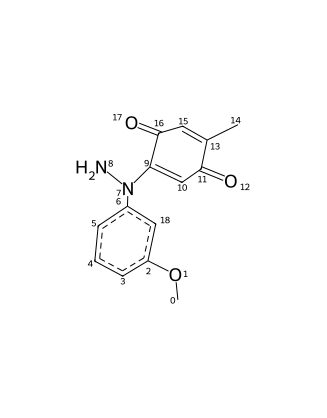 COc1cccc(N(N)C2=CC(=O)C(C)=CC2=O)c1